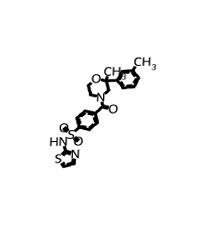 Cc1cccc(C2(C)CN(C(=O)c3ccc(S(=O)(=O)Nc4nccs4)cc3)CCO2)c1